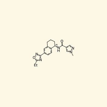 CCc1nc(-c2ccc3c(c2)CCC[C@H]3NC(=O)c2cnn(C)c2)no1